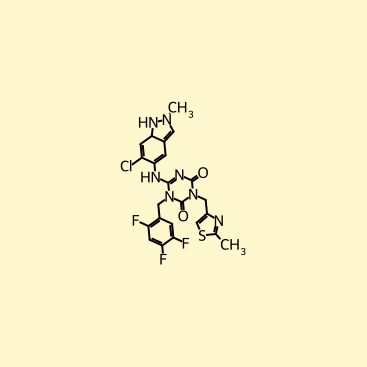 Cc1nc(Cn2c(=O)nc(NC3=CC4=CN(C)NC4C=C3Cl)n(Cc3cc(F)c(F)cc3F)c2=O)cs1